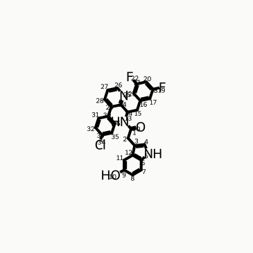 O=C(Cc1c[nH]c2ccc(O)cc12)NC(Cc1cc(F)cc(F)c1)c1ncccc1-c1ccc(Cl)cc1